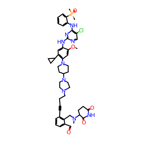 COc1cc(N2CCC(N3CCN(CCC#Cc4cccc(C=O)c4CN(C)C4CCC(=O)NC4=O)CC3)CC2)c(C2CC2)cc1Nc1ncc(Cl)c(Nc2ccccc2P(C)(C)=O)n1